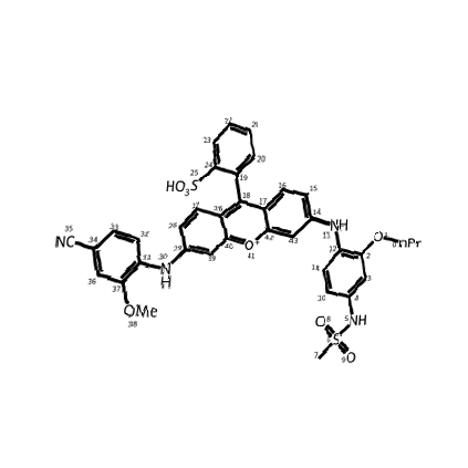 CCCOc1cc(NS(C)(=O)=O)ccc1Nc1ccc2c(-c3ccccc3S(=O)(=O)O)c3ccc(Nc4ccc(C#N)cc4OC)cc3[o+]c2c1